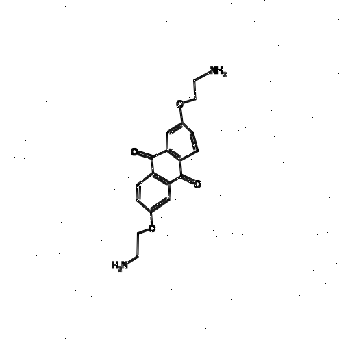 NCCOc1ccc2c(c1)C(=O)c1ccc(OCCN)cc1C2=O